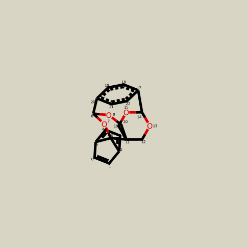 C1=CC2=CC=C1C21OC2OCC13COC(OC3)c1ccc2cc1